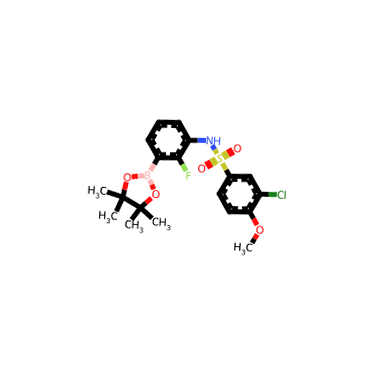 COc1ccc(S(=O)(=O)Nc2cccc(B3OC(C)(C)C(C)(C)O3)c2F)cc1Cl